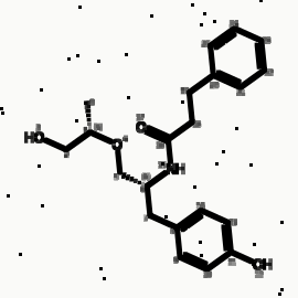 C[C@@H](CO)OC[C@@H](Cc1ccc(O)cc1)NC(=O)CCc1ccccc1